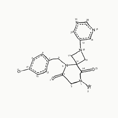 CC(C)N1CC(=O)N(Cc2ccc(Cl)cc2)C2(CN(c3cncnc3)C2)C1=O